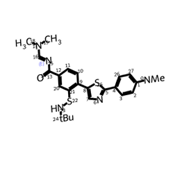 CNc1ccc(-c2ncc(-c3ccc(C(=O)/N=C/N(C)C)cc3SNC(C)(C)C)s2)cc1